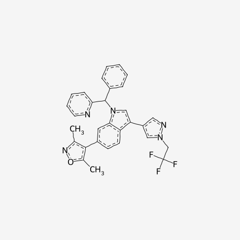 Cc1noc(C)c1-c1ccc2c(-c3cnn(CC(F)(F)F)c3)cn(C(c3ccccc3)c3ccccn3)c2c1